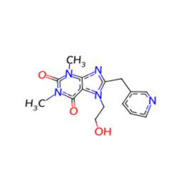 Cn1c(=O)c2c(nc(Cc3cccnc3)n2CCO)n(C)c1=O